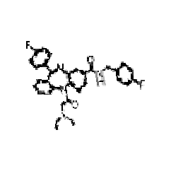 CCN(CC)CC(=O)N1c2ccc(C(=O)NCc3ccc(F)cc3)cc2N=C(c2ccc(F)cc2)c2ccccc21